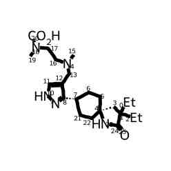 CCC1(CC)C[C@]2(CC[C@@H](c3n[nH]cc3CN(C)CCN(C)C(=O)O)CC2)NC1=O